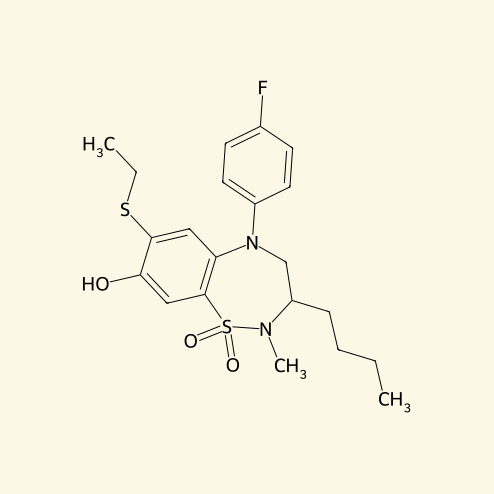 CCCCC1CN(c2ccc(F)cc2)c2cc(SCC)c(O)cc2S(=O)(=O)N1C